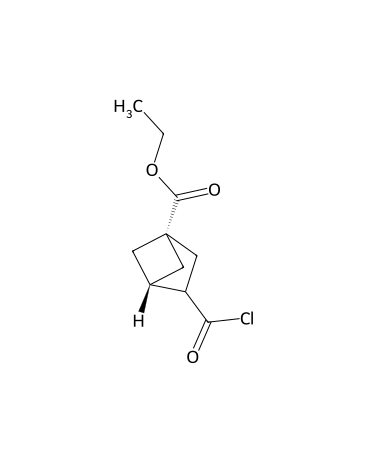 CCOC(=O)[C@]12CC(C(=O)Cl)[C@@H](C1)C2